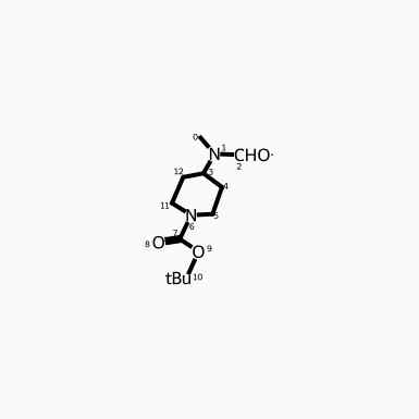 CN([C]=O)C1CCN(C(=O)OC(C)(C)C)CC1